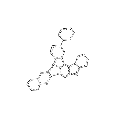 c1ccc(-c2ccc3c(c2)c2c4c(cc5c6nc7ccccc7nc6n3c52)sc2ccccc24)cc1